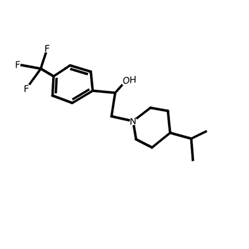 CC(C)C1CCN(CC(O)c2ccc(C(F)(F)F)cc2)CC1